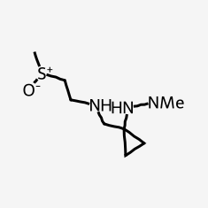 CNNC1(CNCC[S+](C)[O-])CC1